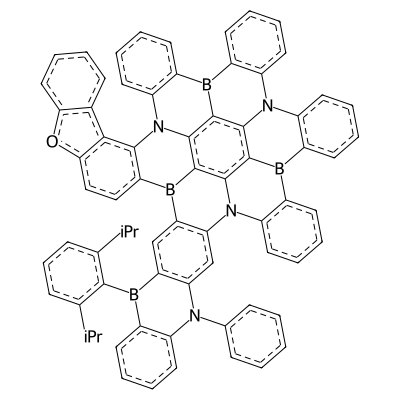 CC(C)c1cccc(C(C)C)c1B1c2ccccc2N(c2ccccc2)c2cc3c(cc21)B1c2ccc4oc5ccccc5c4c2N2c4ccccc4B4c5ccccc5N5c6ccccc6B6c7ccccc7N3c3c6c5c4c2c31